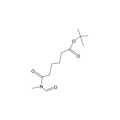 CN(C=O)C(=O)CCCCC(=O)OC(C)(C)C